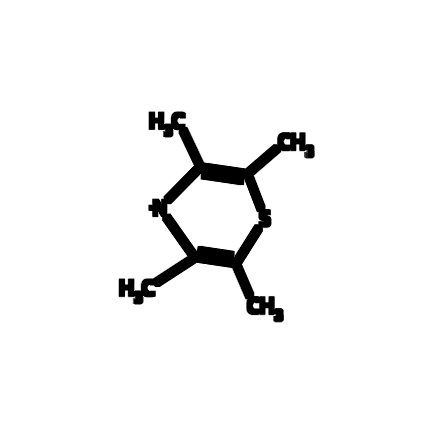 CC1=C(C)SC(C)=C(C)[N]1